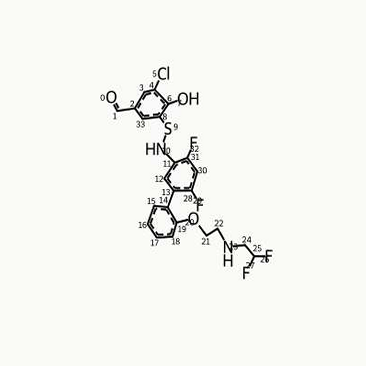 O=Cc1cc(Cl)c(O)c(SNc2cc(-c3ccccc3OCCNCC(F)F)c(F)cc2F)c1